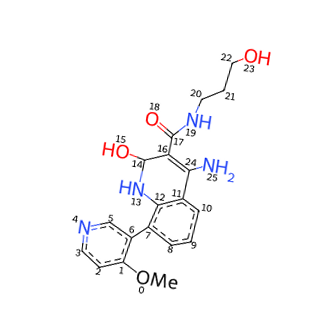 COc1ccncc1-c1cccc2c1NC(O)C(C(=O)NCCCO)=C2N